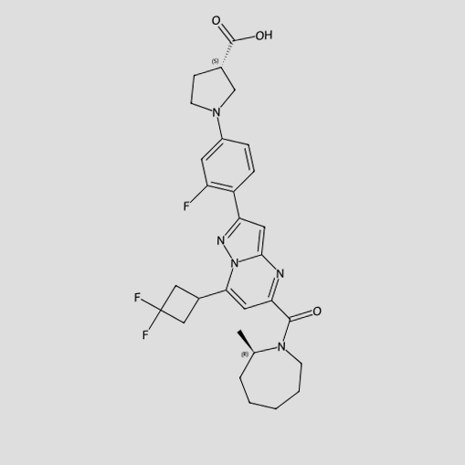 C[C@@H]1CCCCCN1C(=O)c1cc(C2CC(F)(F)C2)n2nc(-c3ccc(N4CC[C@H](C(=O)O)C4)cc3F)cc2n1